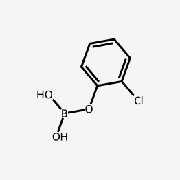 OB(O)Oc1ccccc1Cl